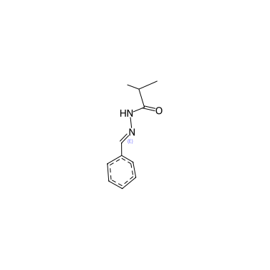 CC(C)C(=O)N/N=C/c1ccccc1